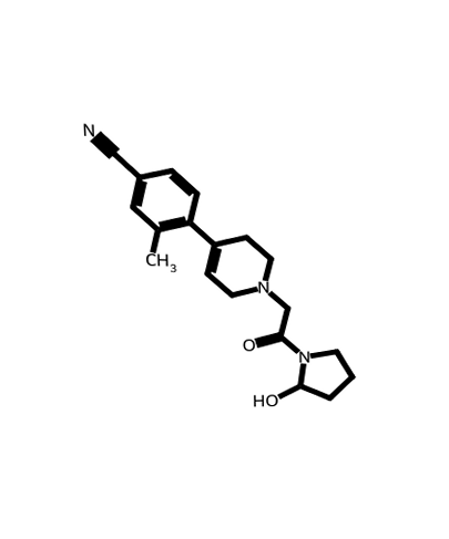 Cc1cc(C#N)ccc1C1=CCN(CC(=O)N2CCCC2O)CC1